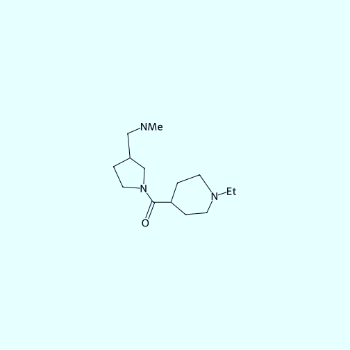 CCN1CCC(C(=O)N2CCC(CNC)C2)CC1